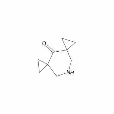 O=C1C2(CC2)CNCC12CC2